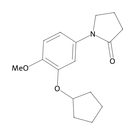 COc1ccc(N2CCCC2=O)cc1OC1CCCC1